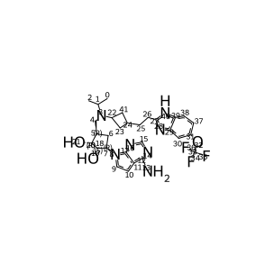 CC(C)N(C[C@H]1C[C@@H](n2ccc3c(N)ncnc32)[C@H](O)[C@@H]1O)C1CC(CCc2nc3cc(OC(F)(F)F)ccc3[nH]2)C1